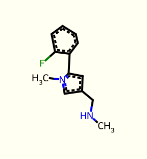 CNCc1cc(-c2ccccc2F)n(C)c1